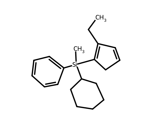 CCC1=C([Si](C)(c2ccccc2)C2CCCCC2)CC=C1